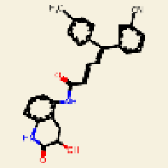 N#Cc1cccc(C(=CC=CC(=O)Nc2cccc3c2CC(O)C(=O)N3)c2ccc(C(F)(F)F)cc2)c1